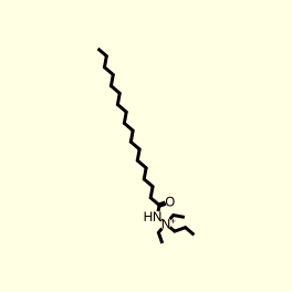 CCCCCCCCCCCCCCCCCC(=O)N[N+](CC)(CC)CCC